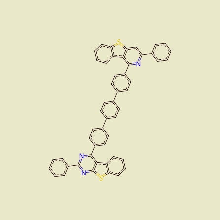 c1ccc(-c2cc3sc4ccccc4c3c(-c3ccc(-c4ccc(-c5ccc(-c6nc(-c7ccccc7)nc7sc8ccccc8c67)cc5)cc4)cc3)n2)cc1